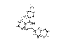 O=C(NC(c1ccc(C(F)(F)F)cc1)c1ncccc1C(F)(F)F)c1cnc2ccccc2c1